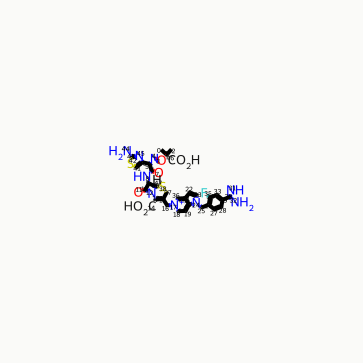 CC(C)(O/N=C(\C(=O)N[C@@H]1C(=O)N2C(C(=O)O)=C(C[n+]3ccc4c(ccn4Cc4ccc(C(=N)N)cc4F)c3)CS[C@H]12)c1csc(N)n1)C(=O)O